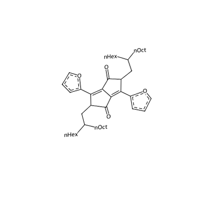 CCCCCCCCC(CCCCCC)CC1C(=O)C2=C(c3ccco3)C(CC(CCCCCC)CCCCCCCC)C(=O)C2=C1c1ccco1